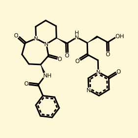 O=C(O)C[C@H](NC(=O)[C@@H]1CCCN2C(=O)CC[C@H](NC(=O)c3ccccc3)C(=O)N12)C(=O)Cn1cnccc1=O